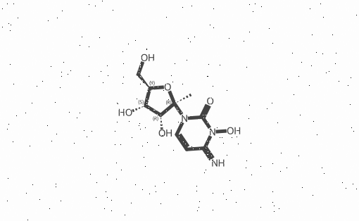 C[C@@]1(n2ccc(=N)n(O)c2=O)O[C@H](CO)[C@@H](O)[C@H]1O